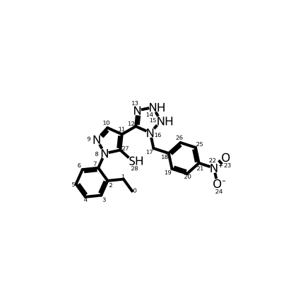 CCc1ccccc1-n1ncc(C2=NNNN2Cc2ccc([N+](=O)[O-])cc2)c1S